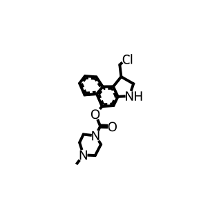 CN1CCN(C(=O)Oc2cc3c(c4ccccc24)C(CCl)CN3)CC1